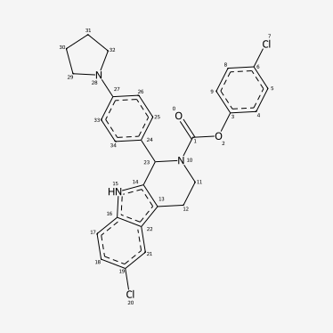 O=C(Oc1ccc(Cl)cc1)N1CCc2c([nH]c3ccc(Cl)cc23)C1c1ccc(N2CCCC2)cc1